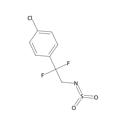 O=S(=O)=NCC(F)(F)c1ccc(Cl)cc1